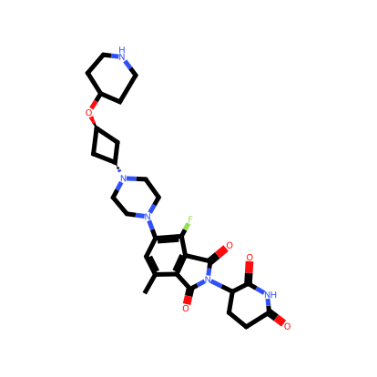 Cc1cc(N2CCN([C@H]3C[C@H](OC4CCNCC4)C3)CC2)c(F)c2c1C(=O)N(C1CCC(=O)NC1=O)C2=O